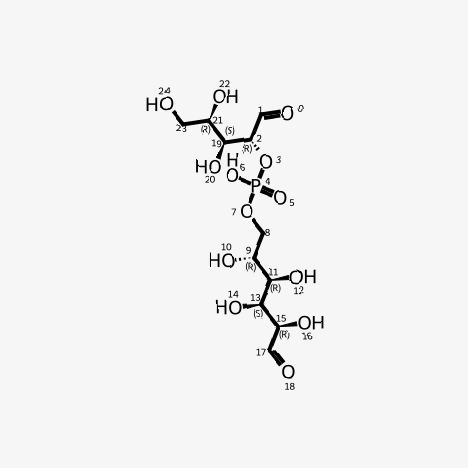 O=C[C@H](OP(=O)(O)OC[C@@H](O)[C@@H](O)[C@H](O)[C@@H](O)C=O)[C@@H](O)[C@H](O)CO